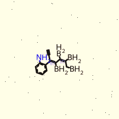 BC/C(B)=C(B)\C(B)=C(/C#C)c1ccccc1N